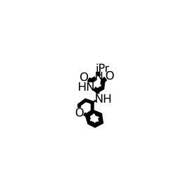 CC(C)n1c(=O)cc(N[C@@H]2CCOc3ccccc32)[nH]c1=O